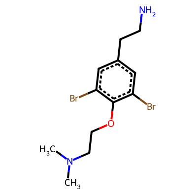 CN(C)CCOc1c(Br)cc(CCN)cc1Br